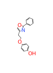 Oc1ccc(OCCc2coc(-c3ccccc3)n2)cc1